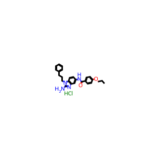 CCCOc1ccc(C(=O)Nc2ccc3c(c2)nc(N)n3CCCc2ccccc2)cc1.Cl